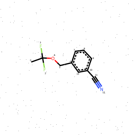 CC(F)(F)OCc1cccc(C#N)c1